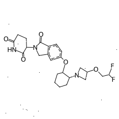 O=C1CCC(N2Cc3cc(OC4CCCCC4N4CC(OCC(F)F)C4)ccc3C2=O)C(=O)N1